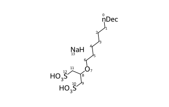 CCCCCCCCCCCCCCCCOC(CS(=O)(=O)O)CS(=O)(=O)O.[NaH]